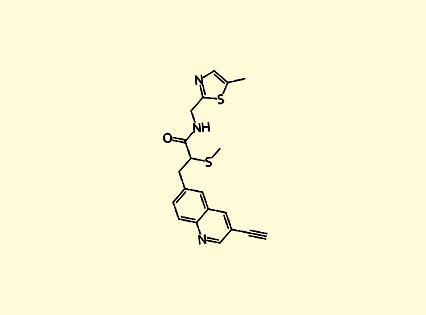 C#Cc1cnc2ccc(CC(SC)C(=O)NCc3ncc(C)s3)cc2c1